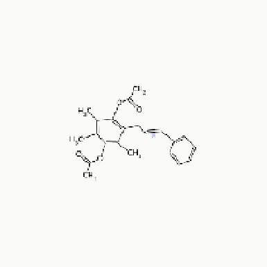 CC(=O)Oc1c(C)c(C)c(OC(C)=O)c(C/C=C/c2ccccc2)c1C